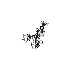 N=C(N)NCCC[C@H](NC(=O)CNC(=O)[C@@H]1CCC(=O)N1)C(=O)Nc1ccc([N+](=O)[O-])cc1